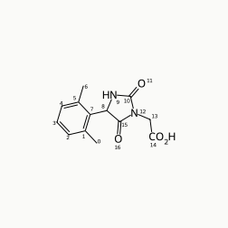 Cc1cccc(C)c1C1NC(=O)N(CC(=O)O)C1=O